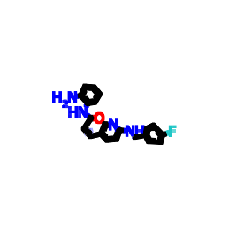 Nc1ccccc1NC(=O)/C=C\c1ccc(NCc2ccc(F)cc2)nc1